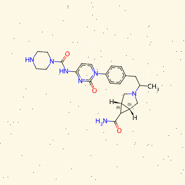 CC(Cc1ccc(-n2ccc(NC(=O)N3CCNCC3)nc2=O)cc1)N1C[C@@H]2C(C(N)=O)[C@@H]2C1